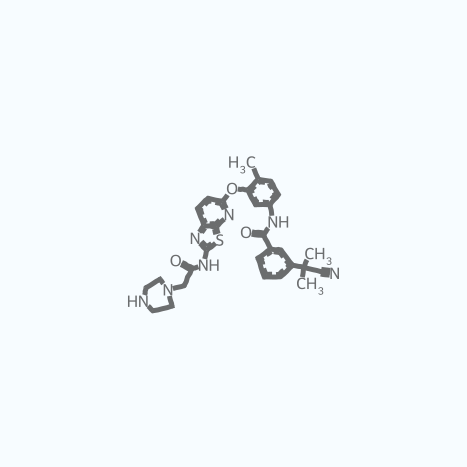 Cc1ccc(NC(=O)c2cccc(C(C)(C)C#N)c2)cc1Oc1ccc2nc(NC(=O)CN3CCNCC3)sc2n1